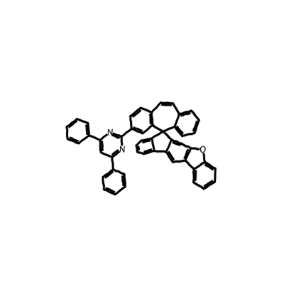 C1=Cc2ccc(-c3nc(-c4ccccc4)cc(-c4ccccc4)n3)cc2C2(c3ccccc31)c1ccccc1-c1cc3c(cc12)oc1ccccc13